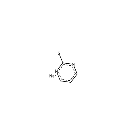 [Na+].[S-]c1ncccn1